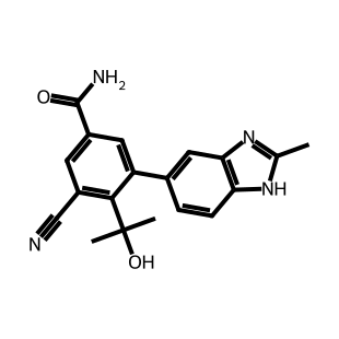 Cc1nc2cc(-c3cc(C(N)=O)cc(C#N)c3C(C)(C)O)ccc2[nH]1